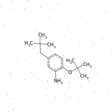 CC(C)(C)Cc1ccc(OC(C)(C)C)c(N)c1